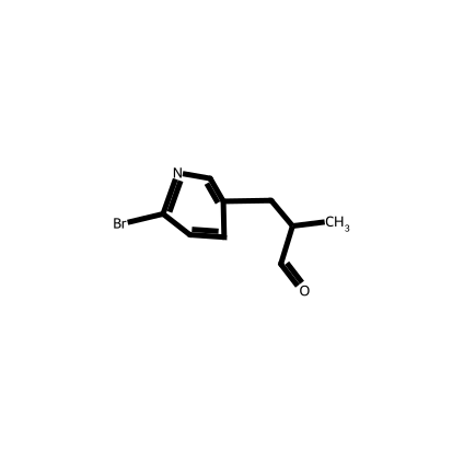 CC(C=O)Cc1ccc(Br)nc1